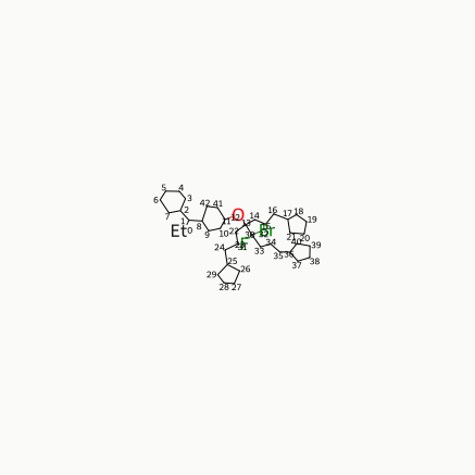 [CH2]CC(C1CCCCC1)C1CCC(OC(CCCC2CCCC2)(CCCC2CCCC2)C(F)(Br)CCCC2CCCC2)CC1